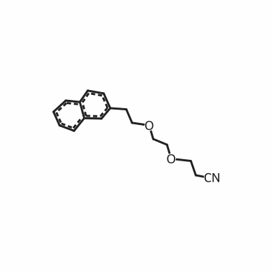 N#CCCOCCOCCc1ccc2ccccc2c1